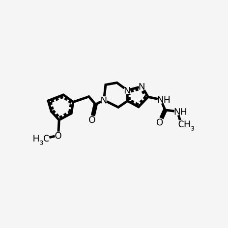 CNC(=O)Nc1cc2n(n1)CCN(C(=O)Cc1cccc(OC)c1)C2